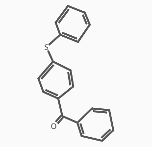 O=C(c1ccccc1)c1ccc(Sc2ccccc2)cc1